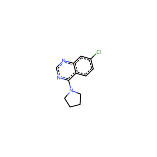 Clc1ccc2c(N3CCCC3)ncnc2c1